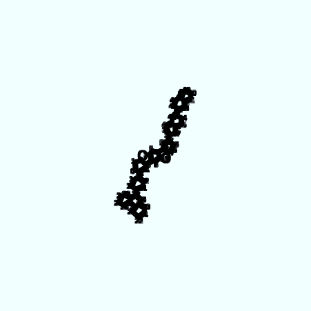 C1=CC2Oc3cc4c(cc3C2C=C1c1ccc(-c2cc3ccccc3c3ccccc23)cc1)oc1ccc(-c2ccc3cc(-c5ccc6ccccc6c5)ccc3c2)cc14